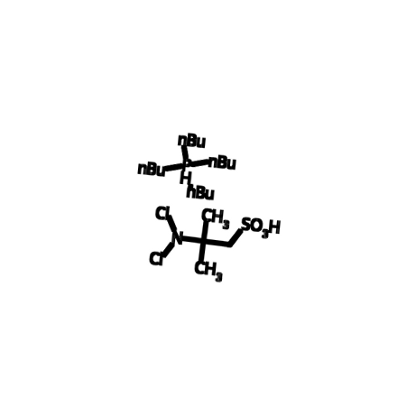 CC(C)(CS(=O)(=O)O)N(Cl)Cl.CCCC[PH](CCCC)(CCCC)CCCC